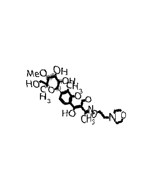 CO[C@@H]1[C@H](O)[C@@H](O)[C@H](c2ccc3c(O)c(C(C)=NOCCN4CCOCC4)c(=O)oc3c2C)O[C@]1(C)CO